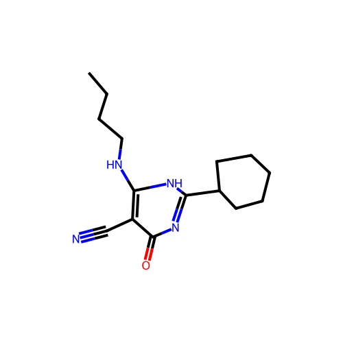 CCCCNc1[nH]c(C2CCCCC2)nc(=O)c1C#N